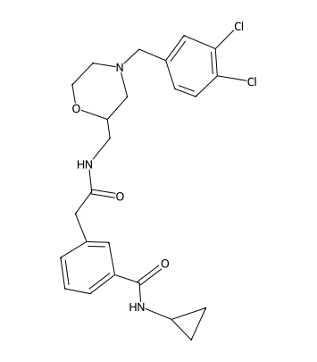 O=C(Cc1cccc(C(=O)NC2CC2)c1)NCC1CN(Cc2ccc(Cl)c(Cl)c2)CCO1